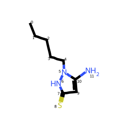 CCCCCn1[nH]c(=S)cc1N